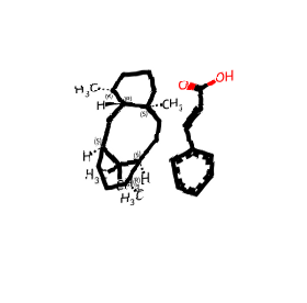 C[C@@H]1CCC[C@@]2(C)CC[C@H]3[C@H](C)CC[C@@H](C[C@H]12)C3(C)C.O=C(O)C=Cc1ccccc1